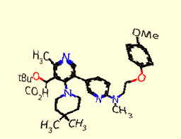 COc1ccc(OCCN(C)c2ccc(-c3cnc(C)c([C@H](OC(C)(C)C)C(=O)O)c3N3CCC(C)(C)CC3)cn2)cc1